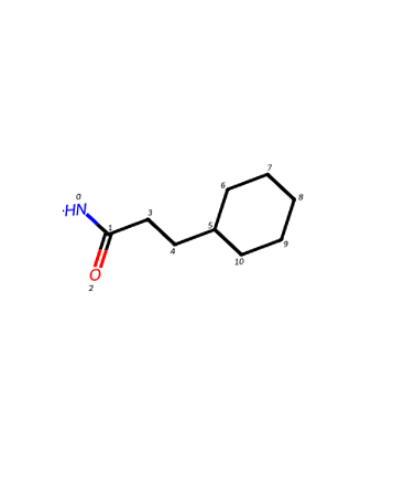 [NH]C(=O)CCC1CCCCC1